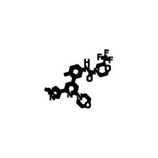 Cc1ccc(NC(=O)N2CCO[C@H](C(F)(F)F)C2)cc1-c1cc(-c2cnn(C)c2)nc(N2CCOCC2)c1